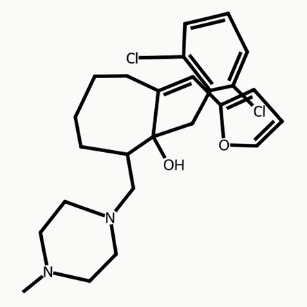 CN1CCN(CC2CCCC/C(=C/c3ccco3)C2(O)Cc2c(Cl)cccc2Cl)CC1